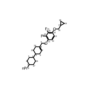 CCCC1CCC(C2CC=C(COc3ccc(OCC4CC4)c(F)c3F)CC2)CC1